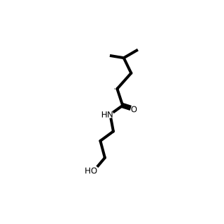 CC(C)C[CH]C(=O)NCCCO